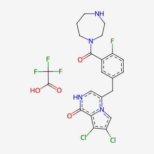 O=C(O)C(F)(F)F.O=C(c1cc(Cc2c[nH]c(=O)c3c(Cl)c(Cl)cn23)ccc1F)N1CCCNCC1